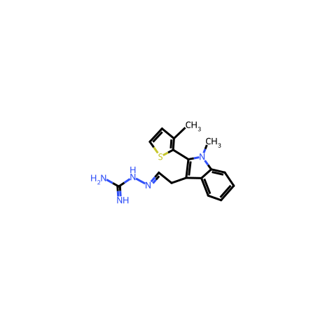 Cc1ccsc1-c1c(CC=NNC(=N)N)c2ccccc2n1C